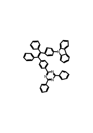 c1ccc(/C(=C(\c2ccccc2)c2ccc(-n3c4ccccc4c4ccccc43)cc2)c2ccc(-c3nc(-c4ccccc4)nc(-c4ccccc4)n3)cc2)cc1